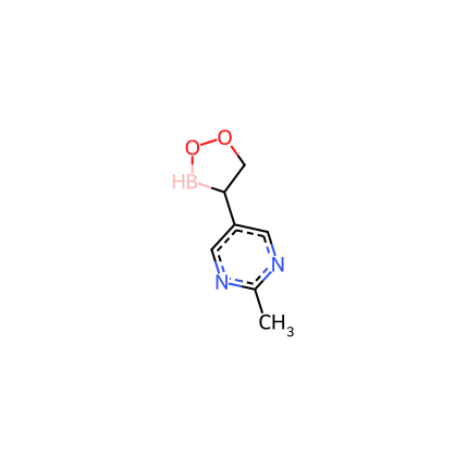 Cc1ncc(C2BOOC2)cn1